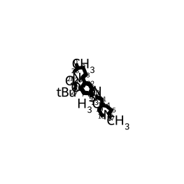 CC1CC=C(c2ccc3sc(CC4(C)CCN(C)CC4)nc3c2)N(C(=O)OC(C)(C)C)C1